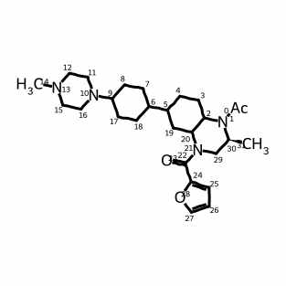 CC(=O)N1C2CCC(C3CCC(N4CCN(C)CC4)CC3)CC2N(C(=O)c2ccco2)C[C@@H]1C